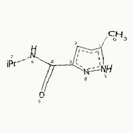 Cc1cc(C(=O)NC(C)C)n[nH]1